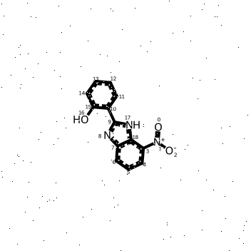 O=[N+]([O-])c1cccc2nc(-c3ccccc3O)[nH]c12